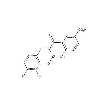 O=C(O)c1ccc2c(c1)C(=O)/C(=C/c1ccc(F)c(Cl)c1)[S+]([O-])N2